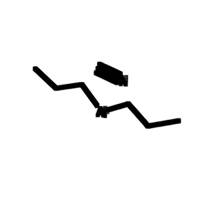 C#N.CC[CH2][Al][CH2]CC